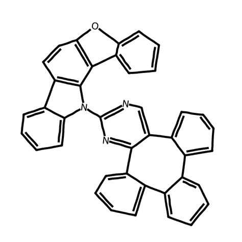 c1ccc2c(c1)-c1ccccc1-c1cnc(-n3c4ccccc4c4ccc5oc6ccccc6c5c43)nc1-c1ccccc1-2